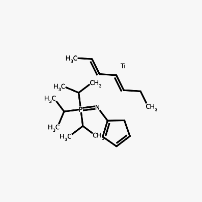 CC(C)P(=NC1=CC=CC1)(C(C)C)C(C)C.CC=CC=CCC.[Ti]